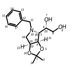 CC1(C)O[C@@H]2[C@@H]([C@H](O)CO)N(Cc3ccccc3)C[C@@H]2O1